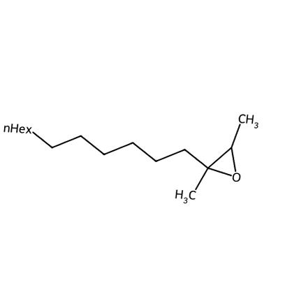 CCCCCCCCCCCCC1(C)OC1C